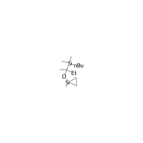 CCCC[Si](C)(C)C(C)(CC)O[Si]1(C)CC1